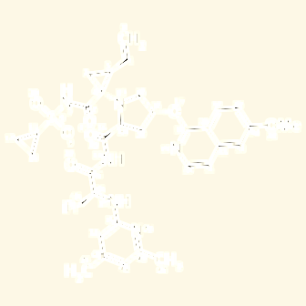 C=C[C@@H]1C[C@@]1(C(=O)NS(=O)(=O)C1CC1)N1C[C@H](Oc2nccc3cc(OC)ccc23)C[C@H]1C(=O)NC(=O)[C@@H](Nc1cc(C)cc(C)n1)C(C)C